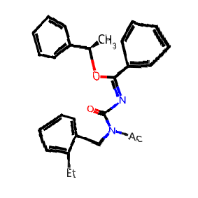 CCc1ccccc1CN(C(C)=O)C(=O)/N=C(\O[C@H](C)c1ccccc1)c1ccccc1